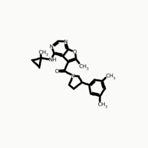 Cc1cc(C)cc(C2CCN(C(=O)c3c(C)oc4ncnc(NC5(C)CC5)c34)C2)c1